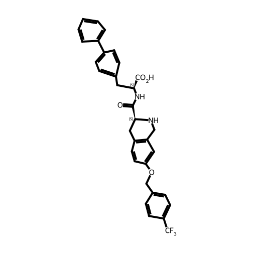 O=C(O)[C@H](Cc1ccc(-c2ccccc2)cc1)NC(=O)[C@@H]1Cc2ccc(OCc3ccc(C(F)(F)F)cc3)cc2CN1